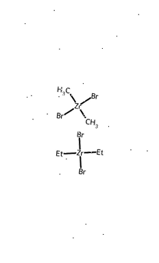 C[CH2][Zr]([Br])([Br])[CH2]C.[CH3][Zr]([CH3])([Br])[Br]